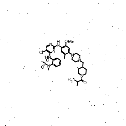 COc1cc(N2CCN(CC3CCN(C(=O)C(C)N)CC3)CC2)c(C)cc1Nc1ncc(Cl)c(Nc2ccccc2N(C)S(C)(=O)=O)n1